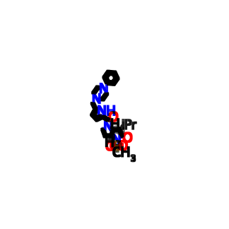 CC(C)[C@@H]1C(=O)N(S(C)(=O)=O)[C@@H]2CCN(C(=O)c3ccc(CN4CCN(c5ccccc5)CC4)[nH]3)[C@H]21